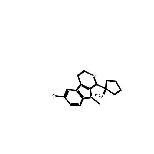 Cn1c2c(c3cc(Cl)ccc31)CCNC2C1(C(=O)O)CCCC1